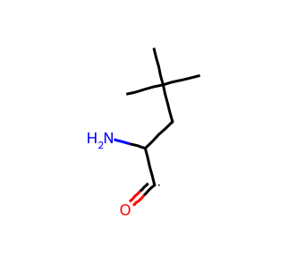 CC(C)(C)CC(N)[C]=O